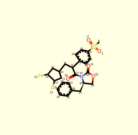 CS(=O)(=O)c1ccc(C(CC2CC(F)C(F)C2)C(=O)N2C(=O)OC[C@H]2Cc2ccccc2)cc1